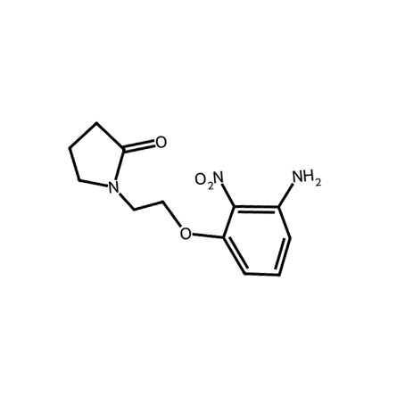 Nc1cccc(OCCN2CCCC2=O)c1[N+](=O)[O-]